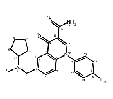 CN(Cc1ccc2c(c1)c(=O)c(C(N)=O)cn2-c1ccc(F)cc1)C1CCCC1